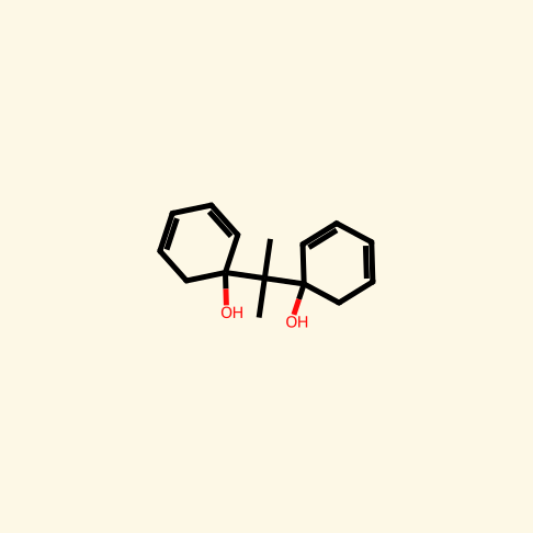 CC(C)(C1(O)C=CC=CC1)C1(O)C=CC=CC1